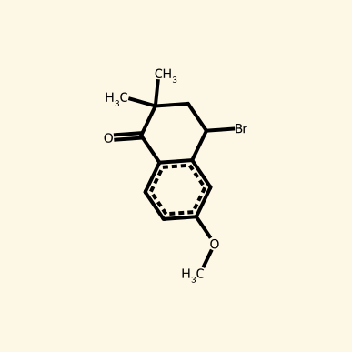 COc1ccc2c(c1)C(Br)CC(C)(C)C2=O